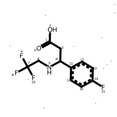 O=C(O)CC(NCC(F)(F)F)c1ccc(F)cc1